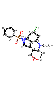 O=C(O)N(c1cc(F)cc2c1ccn2S(=O)(=O)c1ccccc1)C1CCOCC1